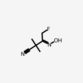 CC(C)(C#N)C(CF)=NO